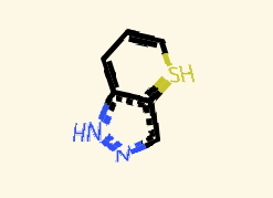 C1=C[SH]=c2cn[nH]c2=C1